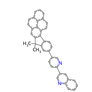 CC1(C)c2cc(-c3ccc(-c4cnc5ccccc5c4)nc3)ccc2-c2c1cc1ccc3cccc4ccc2c1c34